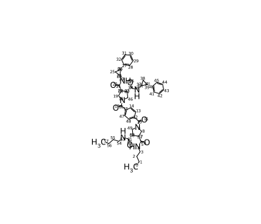 CCCCNC(=O)[C@@H]1CN(C(=O)c2ccc(C(=O)N3C[C@@H](C(=O)N[C@H]4C[C@@H]4c4ccccc4)[C@H](C(=O)N[C@H]4C[C@@H]4c4ccccc4)C3)cc2)C[C@H]1C(=O)NCCCC